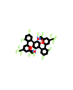 Fc1cc(F)c(-c2cc(C(F)(F)F)cc(C(F)(F)F)c2)c(-c2c3ncoc3c(-c3cc(F)cc(F)c3-c3cc(C(F)(F)F)cc(C(F)(F)F)c3)c3ncoc23)c1